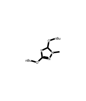 CCCCOC1=NN(C)C(OCCCC)S1